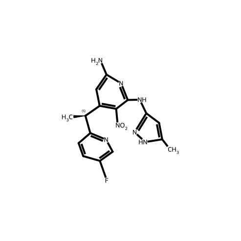 Cc1cc(Nc2nc(N)cc([C@H](C)c3ccc(F)cn3)c2[N+](=O)[O-])n[nH]1